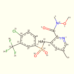 CON(C)C(=O)c1ncc(C)cc1[AsH]S(=O)(=O)c1ccc(Cl)c(C(F)(F)F)c1